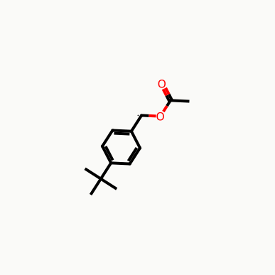 CC(=O)O[CH]c1ccc(C(C)(C)C)cc1